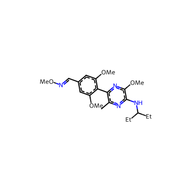 CCC(CC)Nc1nc(C)c(-c2c(OC)cc(/C=N/OC)cc2OC)nc1OC